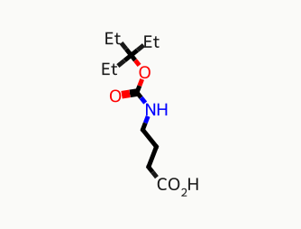 CCC(CC)(CC)OC(=O)NCCCC(=O)O